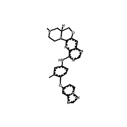 Cc1cc(Nc2ncnc3cc4c(nc23)N2CCN(C)C[C@@H]2CO4)ccc1Oc1ccn2ncnc2c1